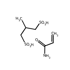 C=CC(N)=O.CC(CS(=O)(=O)O)CS(=O)(=O)O